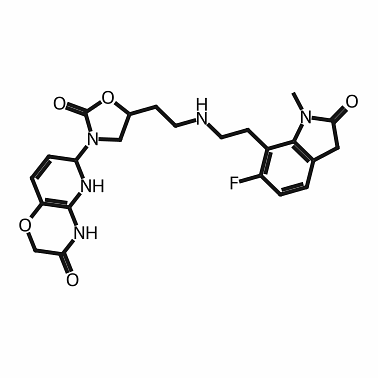 CN1C(=O)Cc2ccc(F)c(CCNCCC3CN(C4C=CC5=C(NC(=O)CO5)N4)C(=O)O3)c21